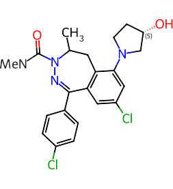 CNC(=O)N1N=C(c2ccc(Cl)cc2)c2cc(Cl)cc(N3CC[C@H](O)C3)c2CC1C